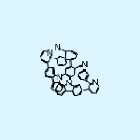 N#Cc1cccc(-c2cc(-n3c4ccccc4c4ccc(-c5cccnc5-c5ccccc5)cc43)c(-n3c4ccccc4c4ccc(-c5cccnc5-c5ccccc5)cc43)cc2C#N)c1